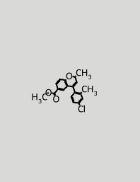 COC(=O)c1ccc2c(c1)C(c1ccc(Cl)cc1C)=CC(C)O2